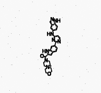 O=C(c1cc2ccc(-c3nccc(Nc4ccc5[nH]ncc5c4)n3)cc2[nH]1)N1CC[N+]2(CCOCC2)CC1